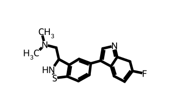 CN(C)CC1NSc2ccc(C3=CN=C4CC(F)=CC=C34)cc21